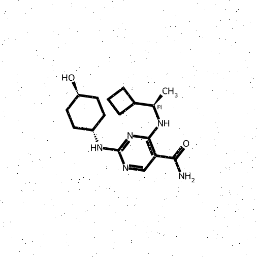 C[C@@H](Nc1nc(N[C@H]2CC[C@H](O)CC2)ncc1C(N)=O)C1CCC1